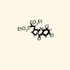 CCOC(=O)C(CC1CCn2c1nc1c(Cl)cc(Cl)cc1c2=O)C(=O)OCC